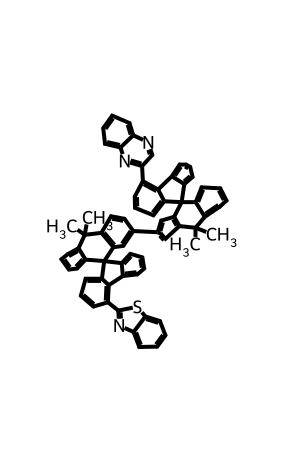 CC1(C)c2ccccc2C2(c3ccccc3-c3c(-c4cnc5ccccc5n4)cccc32)c2cc(-c3ccc4c(c3)C3(c5ccccc5-c5c(-c6nc7ccccc7s6)cccc53)c3ccccc3C4(C)C)ccc21